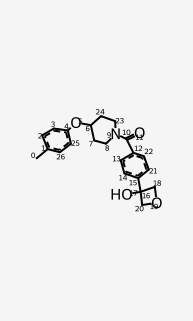 Cc1ccc(OC2CCN(C(=O)c3ccc(C4(O)COC4)cc3)CC2)cc1